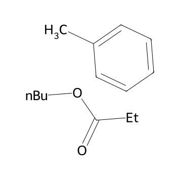 CCCCOC(=O)CC.Cc1ccccc1